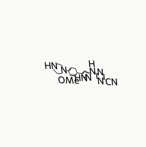 COC1=CC(N2CCCNCC2)=CCC1c1cc(Nc2cnc(C#N)cn2)n[nH]1